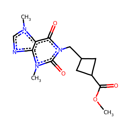 COC(=O)C1CC(Cn2c(=O)c3c(ncn3C)n(C)c2=O)C1